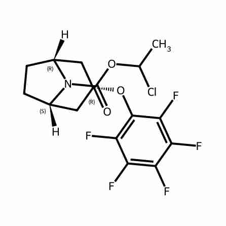 CC(Cl)OC(=O)N1[C@@H]2CC[C@H]1C[C@@H](Oc1c(F)c(F)c(F)c(F)c1F)C2